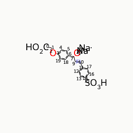 O=C(O)COc1ccc(C(=O)/C=C/c2ccc(S(=O)(=O)O)cc2)cc1.[Na].[Na]